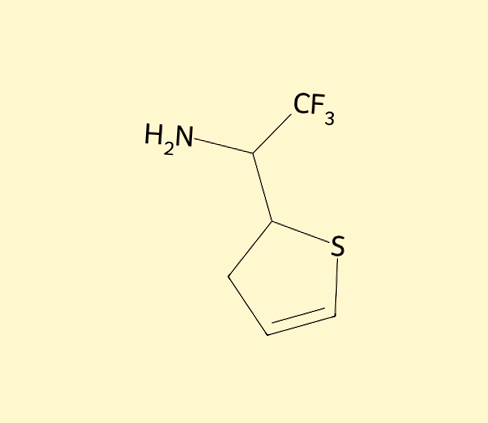 NC(C1CC=CS1)C(F)(F)F